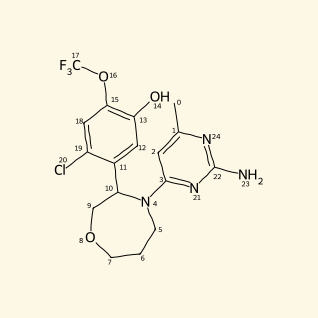 Cc1cc(N2CCCOCC2c2cc(O)c(OC(F)(F)F)cc2Cl)nc(N)n1